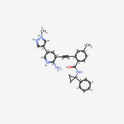 Cc1ccc(C(=O)NC2(c3ccccc3)CC2)c(C#Cc2cc(-c3cnn(C)c3)cnc2N)c1